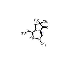 CN(C)/C=C1/C(=O)C(C)(C(F)(F)F)CN1C(=O)OC(C)(C)C